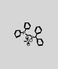 CS(=O)(=O)OP(CCP(c1ccccc1)c1ccccc1)C(c1ccccc1)c1ccccc1